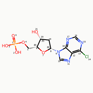 O=P(O)(O)OC[C@H]1O[C@@H](n2cnc3c(Cl)ncnc32)C[C@H]1O